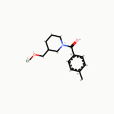 CCOCC1CCCN(C(=O)c2ccc(C)cc2)C1